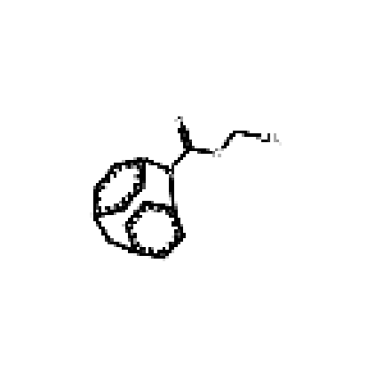 CCOC(=O)N1c2ccc(cc2)Cc2ccc1cc2